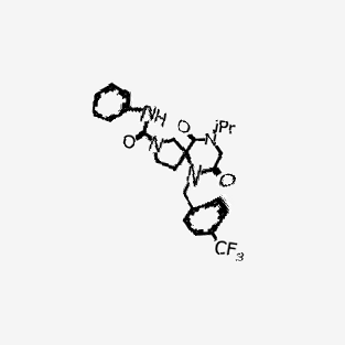 CC(C)N1CC(=O)N(Cc2ccc(C(F)(F)F)cc2)C2(CCN(C(=O)Nc3ccccc3)C2)C1=O